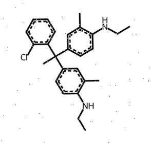 CCNc1ccc(C(C)(c2ccc(NCC)c(C)c2)c2ccccc2Cl)cc1C